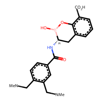 CNCc1ccc(C(=O)N[C@H]2Cc3cccc(C(=O)O)c3OB2O)cc1CNC